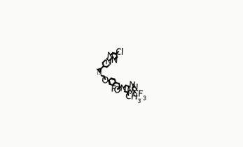 CC1CN(C(=O)Cc2ccc(OCC[C@@H]3CC3C3CCN(c4ncc(Cl)cn4)CC3)cc2F)Cc2nnc(C(F)(F)F)n21